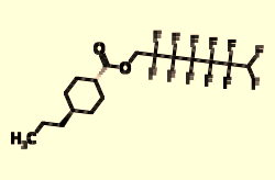 CCC[C@H]1CC[C@H](C(=O)OCC(F)(F)C(F)(F)C(F)(F)C(F)(F)C(F)(F)C(F)F)CC1